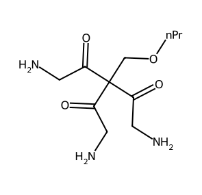 CCCOCC(C(=O)CN)(C(=O)CN)C(=O)CN